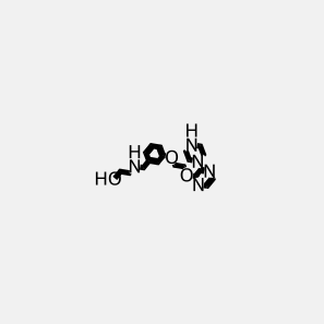 OCCNCc1cccc(OCCOc2nccnc2N2CCNCC2)c1